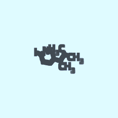 CC(C)C(C)C1C=CC(I)=NC1